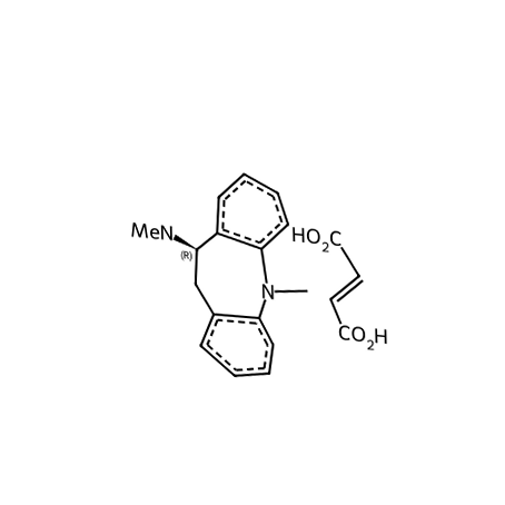 CN[C@@H]1Cc2ccccc2N(C)c2ccccc21.O=C(O)C=CC(=O)O